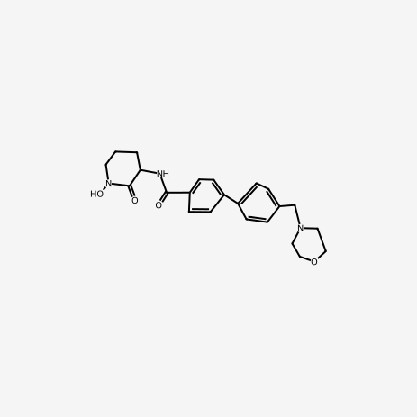 O=C(NC1CCCN(O)C1=O)c1ccc(-c2ccc(CN3CCOCC3)cc2)cc1